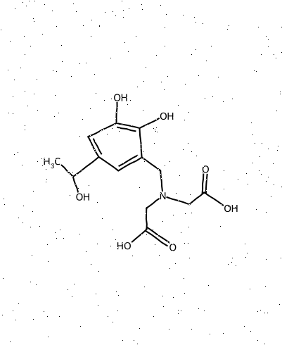 CC(O)c1cc(O)c(O)c(CN(CC(=O)O)CC(=O)O)c1